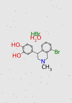 Br.CN1Cc2c(Br)cccc2C(c2ccc(O)c(O)c2)C1.O